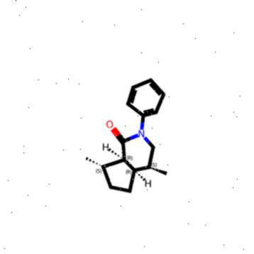 C[C@@H]1CN(c2ccccc2)C(=O)[C@H]2[C@@H]1CC[C@@H]2C